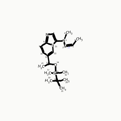 C/C=N\N(C)c1cnc2ccc(C(C)O[Si](C)(C)C(C)(C)C)cn12